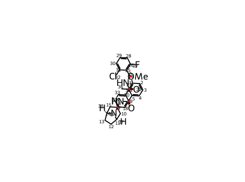 COc1cccc(C(=O)N[C@H]2C[C@H]3CC[C@@H](C2)N3c2ccc(C(=O)NCc3c(F)cccc3Cl)cn2)c1C